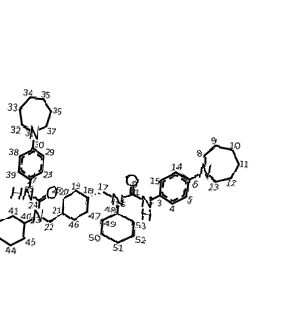 O=C(Nc1ccc(N2CCCCCC2)cc1)N(C[C@H]1CC[C@H](CN(C(=O)Nc2ccc(N3CCCCCC3)cc2)C2CCCCC2)CC1)C1CCCCC1